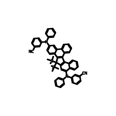 C[Si](C)(C)C1([Si](C)(C)C)c2cc(N(c3ccccc3)c3cccc(C#N)c3)c3ccccc3c2-c2c1c1ccc(N(c3ccccc3)c3cccc(C#N)c3)cc1c1ccccc21